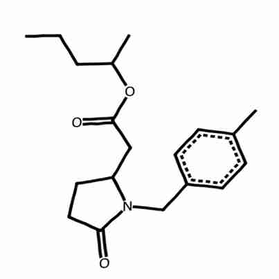 CCCC(C)OC(=O)CC1CCC(=O)N1Cc1ccc(C)cc1